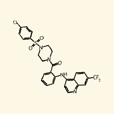 O=C(c1ccccc1Nc1ccnc2cc(C(F)(F)F)ccc12)N1CCN(S(=O)(=O)c2ccc(Cl)cc2)CC1